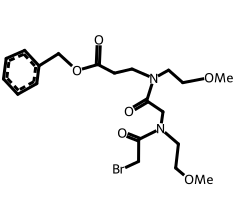 COCCN(CCC(=O)OCc1ccccc1)C(=O)CN(CCOC)C(=O)CBr